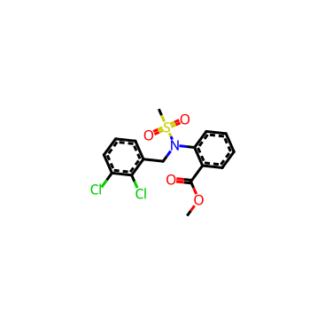 COC(=O)c1ccccc1N(Cc1cccc(Cl)c1Cl)S(C)(=O)=O